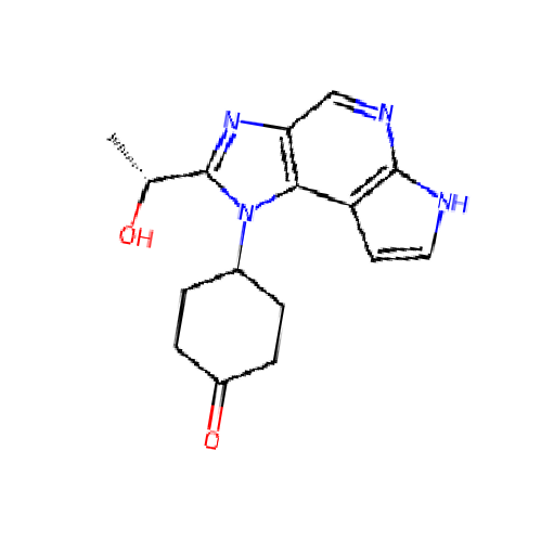 C[C@@H](O)c1nc2cnc3[nH]ccc3c2n1C1CCC(=O)CC1